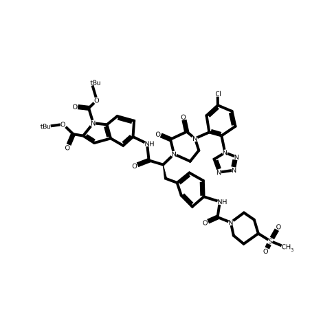 CC(C)(C)OC(=O)c1cc2cc(NC(=O)[C@H](Cc3ccc(NC(=O)N4CCC(S(C)(=O)=O)CC4)cc3)N3CCN(c4cc(Cl)ccc4-n4cnnn4)C(=O)C3=O)ccc2n1C(=O)OC(C)(C)C